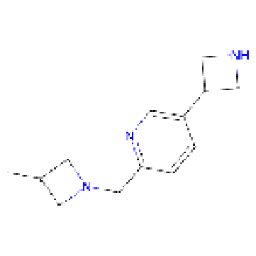 C[C]1CN(Cc2ccc(C3CNC3)cn2)C1